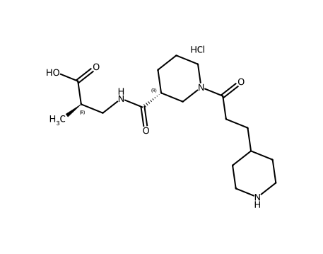 C[C@H](CNC(=O)[C@@H]1CCCN(C(=O)CCC2CCNCC2)C1)C(=O)O.Cl